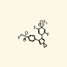 COC1(F)C=C(F)C(C2=CC3(C=C2c2ccc(S(=O)(=O)CF)cc2)CC3)C=C1F